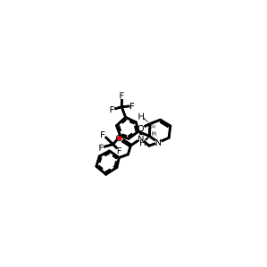 O=C(Cc1ccccc1)N1CN2CC=C[C@H](O1)[C@H]2c1cc(C(F)(F)F)cc(C(F)(F)F)c1